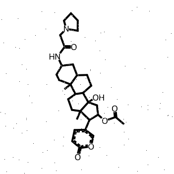 CC(=O)OC1CC2(O)C3CCC4CC(NC(=O)CN5CCCC5)CCC4(C)C3CCC2(C)C1c1ccc(=O)oc1